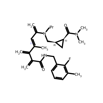 C=C(C(=C)/C(C)=C/C(=C)N(C[C@@H]1C[C@@H]1C(=O)N(C)C)C(C)C)C(=O)NCc1cccc(C)c1F